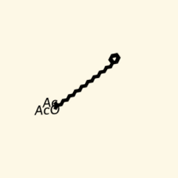 CC(=O)OC(CCCCCCCCCCCCCCCCCc1ccccc1)C(C)=O